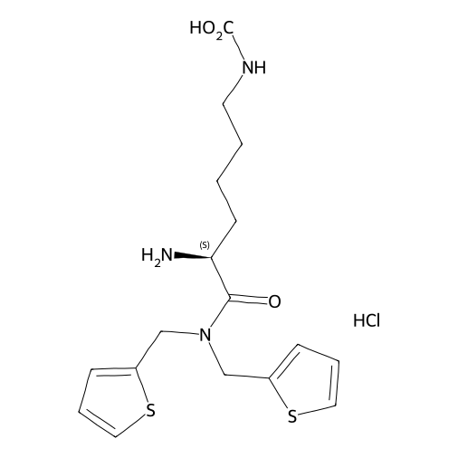 Cl.N[C@@H](CCCCNC(=O)O)C(=O)N(Cc1cccs1)Cc1cccs1